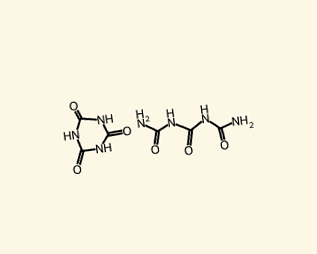 NC(=O)NC(=O)NC(N)=O.O=c1[nH]c(=O)[nH]c(=O)[nH]1